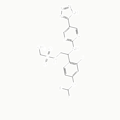 CCS(=O)(=O)NCC(Nc1ncc(-c2nnn[nH]2)cn1)c1ccc(OC(F)F)cc1F